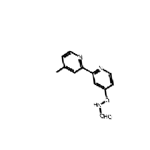 Cc1ccnc(-c2cc(ONC=O)ccn2)c1